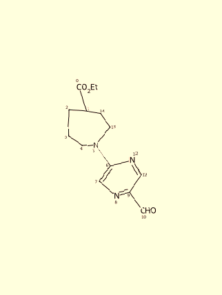 CCOC(=O)C1CCCN(c2cnc(C=O)cn2)CC1